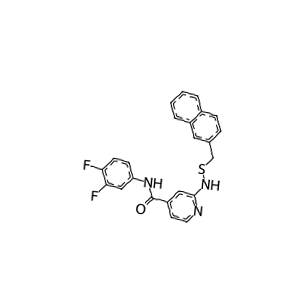 O=C(Nc1ccc(F)c(F)c1)c1ccnc(NSCc2ccc3ccccc3c2)c1